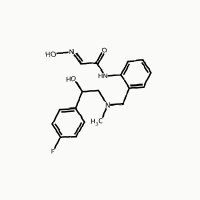 CN(Cc1ccccc1NC(=O)C=NO)CC(O)c1ccc(F)cc1